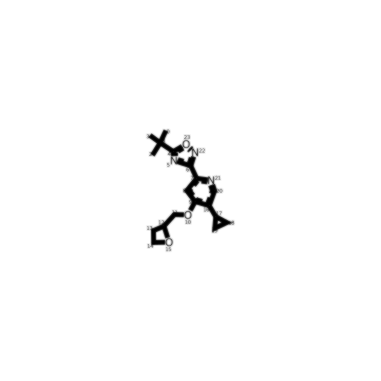 CC(C)(C)c1nc(-c2cc(OCC3CCO3)c(C3CC3)cn2)no1